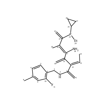 C=C(NCc1ccc(C)cc1F)/C(=C/C)C(=C)/C(N)=C(\C)C(=C)P(CC)C1CC1